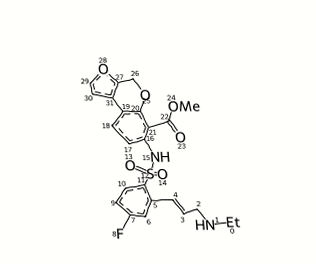 CCNCC=Cc1cc(F)ccc1S(=O)(=O)Nc1ccc2c(c1C(=O)OC)OCc1occc1-2